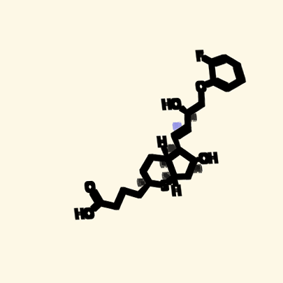 O=C(O)CCC[C@H]1CC[C@@H]2[C@@H](/C=C/[C@@H](O)COc3ccccc3F)[C@H](O)C[C@@H]2S1